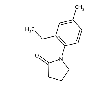 CCc1cc(C)ccc1N1CCCC1=O